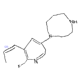 C/C=C\c1cc(N2CCCNCC2)cnc1F